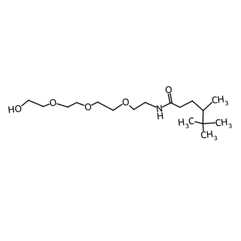 CC(CCC(=O)NCCOCCOCCOCCO)C(C)(C)C